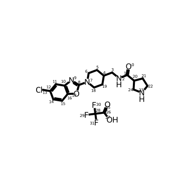 O=C(NCC1CCN(c2nc3cc(Cl)ccc3o2)CC1)C1CCNC1.O=C(O)C(F)(F)F